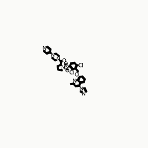 Cc1cc(-n2ccnc2)c2cccc(OCc3c(Cl)ccc(S(=O)(=O)N4CCCC4C(=O)N4CCN(c5ccncc5)CC4)c3Cl)c2n1